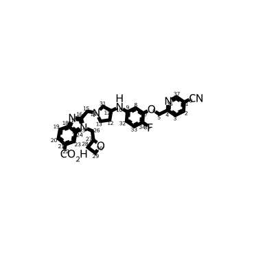 N#Cc1ccc(COc2cc(NC3CCN(Cc4nc5ccc(C(=O)O)cc5n4CC4CCO4)C3)ccc2F)nc1